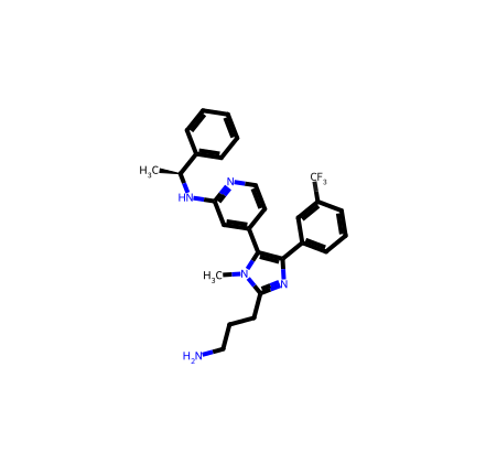 C[C@H](Nc1cc(-c2c(-c3cccc(C(F)(F)F)c3)nc(CCCN)n2C)ccn1)c1ccccc1